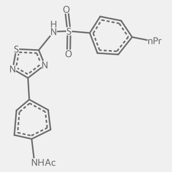 CCCc1ccc(S(=O)(=O)Nc2nc(-c3ccc(NC(C)=O)cc3)ns2)cc1